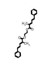 C/C(=C\C=C\c1ccccc1)C(=O)OCCOC(=O)/C(C)=C/C=C/c1ccccc1